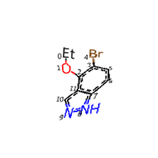 CCOc1c(Br)ccc2[nH]ncc12